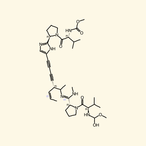 C/C=C\[C@H](C#CC#Cc1cnc([C@H]2CCCN2C(=O)[C@H](NC(=O)OC)C(C)C)[nH]1)C(C)/N=C(\NC)[C@H]1CCCN1C(=O)[C@H](NC(O)OC)C(C)C